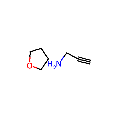 C#CCN.C1CCOC1